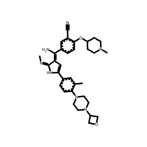 C/N=C1/NC(c2ccc(N3CCN(C4COC4)CC3)c(C)c2)=C/C1=C(/N)c1ccc(OC2CCN(C)CC2)c(C#N)c1